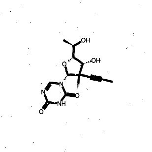 CC#CC1(F)[C@@H](O)[C@@H]([C@@H](C)O)O[C@H]1n1cnc(=O)[nH]c1=O